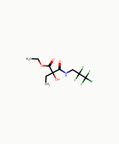 CCOC(=O)C(O)(CC)C(=O)NCC(F)(F)C(F)(F)F